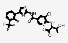 CC(O)C(Nc1ncc(C(=O)Nc2nc(-c3cccc(C(F)(F)F)c3F)cs2)cc1Cl)C(=O)O